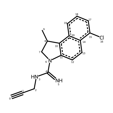 C#CCNC(=N)N1CC(C)c2c1ccc1c(Cl)cccc21